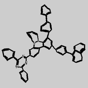 C1=CB2c3c(-c4ccc(-c5ccccc5)cc4)cc(-c4ccc(-c5cccc6ccccc56)cc4)cc3-c3ccc(-c4nc(-c5ccccc5)nc(-c5ccccc5)n4)cc3N2C=C1